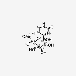 COC(=O)[C@H]1O[C@](O)(c2nc(=O)[nH]cc2F)[C@H](O)[C@@H](O)[C@@H]1O